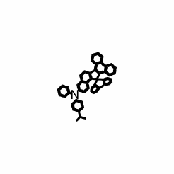 CC(C)c1ccc(N(c2ccccc2)c2ccc3c4c(ccc3c2)-c2c(c3ccccc3c3ccccc23)C42c3ccccc3-c3ccccc32)cc1